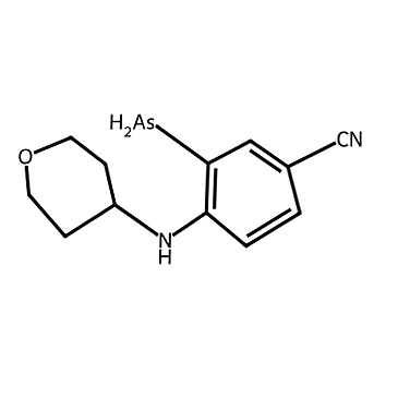 N#Cc1ccc(NC2CCOCC2)c([AsH2])c1